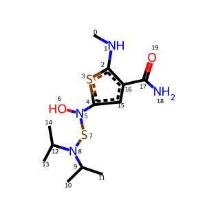 CNc1sc(N(O)SN(C(C)C)C(C)C)cc1C(N)=O